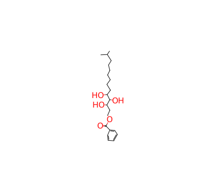 CC(C)CCCCCCCC(O)C(O)C(O)CCOC(=O)c1ccccc1